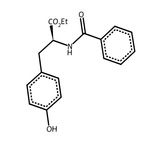 CCOC(=O)[C@H](Cc1ccc(O)cc1)NC(=O)c1ccccc1